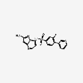 Cc1cc2nccc(NS(=O)(=O)c3ccc(-c4cccnc4)c(F)c3)n2n1